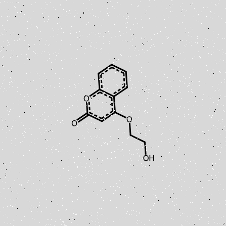 O=c1cc(OCCO)c2ccccc2o1